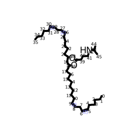 CCCCC/C=C\C/C=C\CCCCCCCCC(CCCCCCC/C=C\C/C=C\CCCCC)OC(=O)CCCNC(C)C